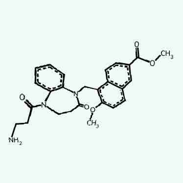 COC(=O)c1ccc2c(CN3C(=O)CCN(C(=O)CCN)c4ccccc43)c(OC)ccc2c1